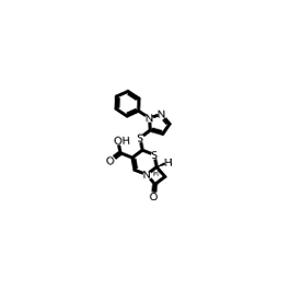 O=C(O)C1=CN2C(=O)C[C@H]2SC1Sc1ccnn1-c1ccccc1